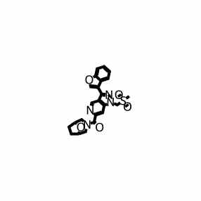 CS(=O)(=O)Cn1nc(-c2coc3ccccc23)c2cnc(C(=O)N3CC4CCC(C3)O4)cc21